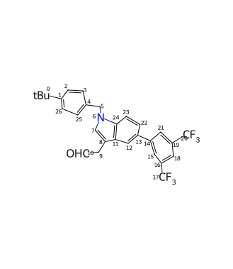 CC(C)(C)c1ccc(Cn2cc(CC=O)c3cc(-c4cc(C(F)(F)F)cc(C(F)(F)F)c4)ccc32)cc1